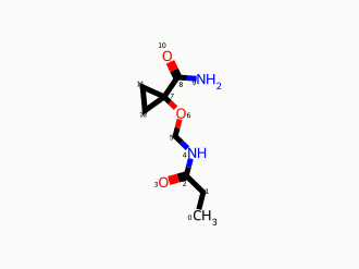 CCC(=O)NCOC1(C(N)=O)CC1